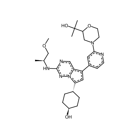 COC[C@H](C)Nc1ncc2c(-c3ccnc(N4CCOC(C(C)(C)O)C4)c3)cc([C@H]3CC[C@H](O)CC3)n2n1